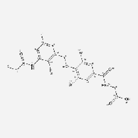 CCC(=O)Nc1cc(C)cc(COc2c(Br)cc(C(=O)NCC(=O)O)cc2Br)c1F